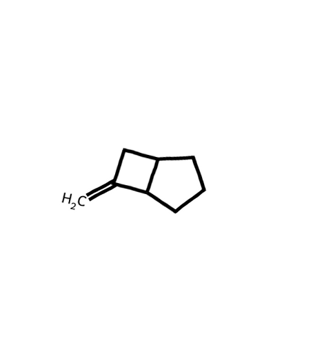 C=C1CC2CCCC12